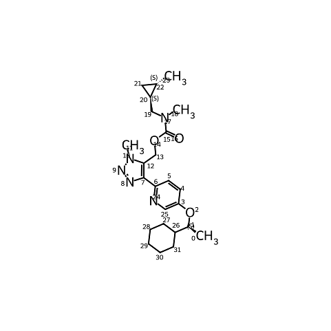 C[C@H](Oc1ccc(-c2nnn(C)c2COC(=O)N(C)C[C@H]2C[C@@H]2C)nc1)C1CCCCC1